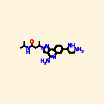 CC(C)NC(=O)CC(C)n1cc2c(N)nc3cc(C(=N)/C=C\N)ccc3c2n1